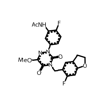 COc1nn(-c2ccc(F)c(NC(C)=O)c2)c(=O)n(Cc2cc3c(cc2F)OCC3)c1=O